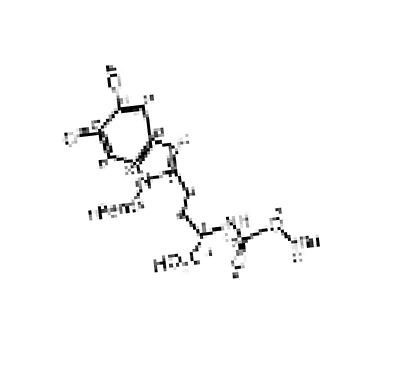 CCCCCn1c(CC[C@H](NC(=O)OC(C)(C)C)C(=O)O)nc2cc(Cl)c(Cl)cc21